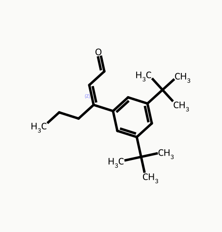 CCC/C(=C/C=O)c1cc(C(C)(C)C)cc(C(C)(C)C)c1